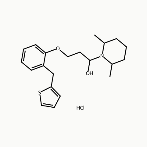 CC1CCCC(C)N1C(O)CCOc1ccccc1Cc1cccs1.Cl